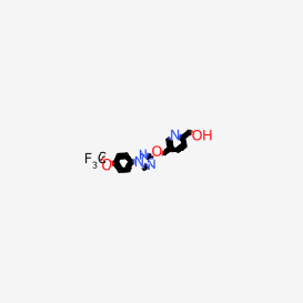 OCc1ccc(COc2ncn(-c3ccc(OC(F)(F)F)cc3)n2)cn1